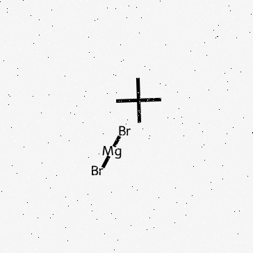 CC(C)(C)C.[Br][Mg][Br]